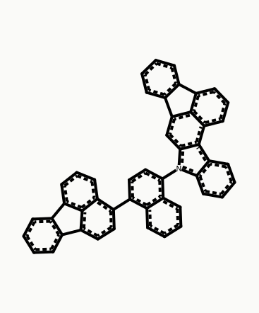 c1ccc2c(c1)-c1cccc3c(-c4ccc(-n5c6ccccc6c6c7cccc8c7c(cc65)-c5ccccc5-8)c5ccccc45)ccc-2c13